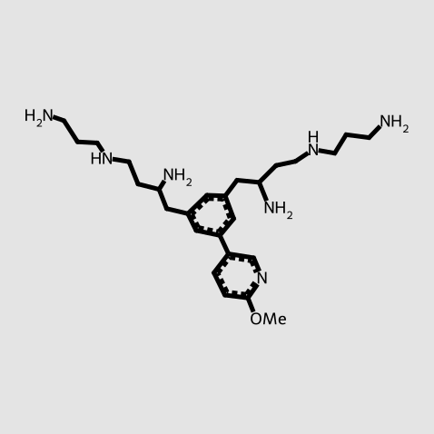 COc1ccc(-c2cc(CC(N)CCNCCCN)cc(CC(N)CCNCCCN)c2)cn1